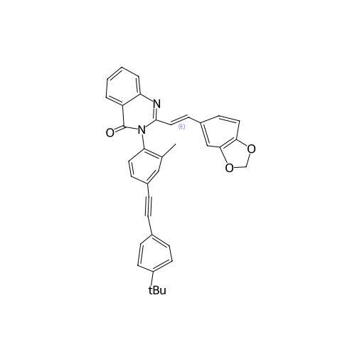 Cc1cc(C#Cc2ccc(C(C)(C)C)cc2)ccc1-n1c(/C=C/c2ccc3c(c2)OCO3)nc2ccccc2c1=O